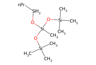 [CH2]CC[SiH2]O[Si](C)(O[Si](C)(C)C)O[Si](C)(C)C